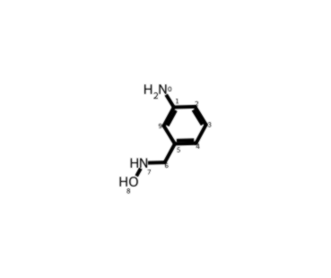 Nc1cccc(CNO)c1